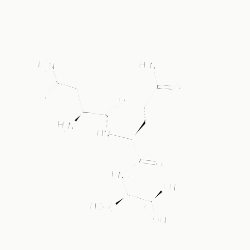 C[C@@H](O)[C@H](NC(=O)[C@H](CCC(N)=O)NC(=O)[C@@H](N)CC(N)=O)C(=O)O